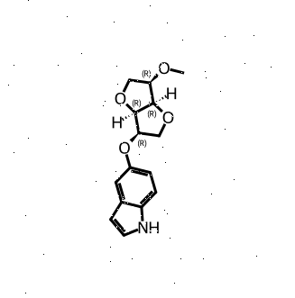 CO[C@@H]1CO[C@H]2[C@@H]1OC[C@H]2Oc1ccc2[nH]ccc2c1